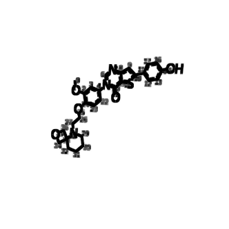 COc1cc(-n2cnc3cc(-c4ccc(O)cc4)sc3c2=O)ccc1OCCN1CCCCC12COC2